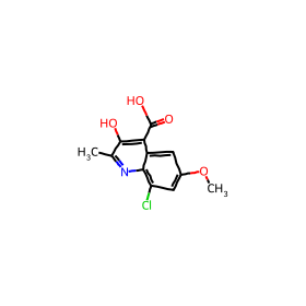 COc1cc(Cl)c2nc(C)c(O)c(C(=O)O)c2c1